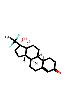 CC[C@]12CC[C@H]3[C@@H](CCC4=CC(=O)CC[C@@H]43)[C@@H]1CC[C@@]2(O)C(F)(F)C(F)(F)F